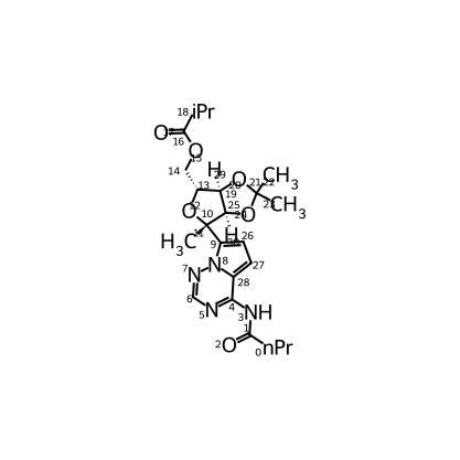 CCCC(=O)Nc1ncnn2c([C@]3(C)O[C@H](COC(=O)C(C)C)[C@H]4OC(C)(C)O[C@H]43)ccc12